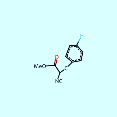 [C-]#[N+]C(Cc1ccc(F)cc1)C(=O)OC